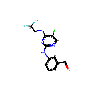 O=Cc1cccc(Nc2ncc(Cl)c(NCC(F)F)n2)c1